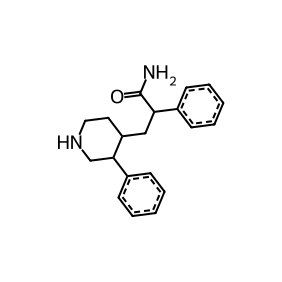 NC(=O)C(CC1CCNCC1c1ccccc1)c1ccccc1